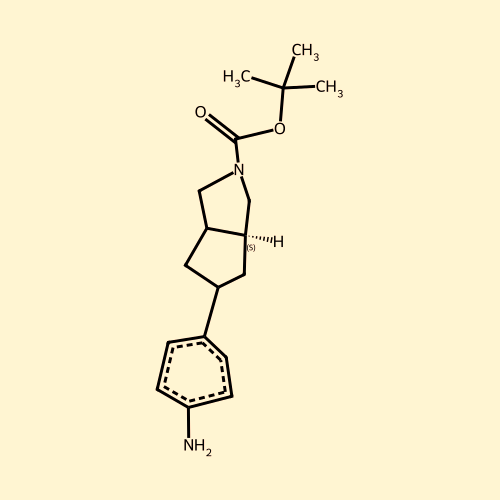 CC(C)(C)OC(=O)N1CC2CC(c3ccc(N)cc3)C[C@@H]2C1